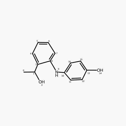 CC(O)c1ccccc1Nc1ccc(O)cc1